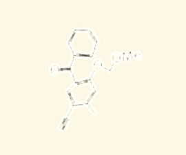 C#Cc1cc(C(=O)c2ccccc2)c(OCOC)cc1C